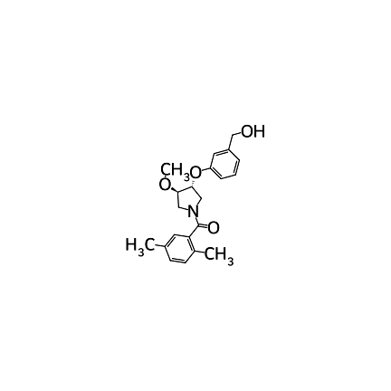 CO[C@@H]1CN(C(=O)c2cc(C)ccc2C)C[C@H]1Oc1cccc(CO)c1